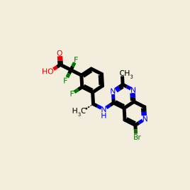 Cc1nc(N[C@H](C)c2cccc(C(F)(F)C(=O)O)c2F)c2cc(Br)ncc2n1